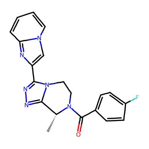 C[C@@H]1c2nnc(-c3cn4ccccc4n3)n2CCN1C(=O)c1ccc(F)cc1